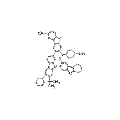 CC(C)(C)c1ccc(N2B3c4cc5c(cc4-n4c6cc7c(cc6c6ccc(c3c64)-c3cc4c(cc32)sc2ccc(C(C)(C)C)cc24)-c2ccccc2C7(C)C)oc2ccccc25)cc1